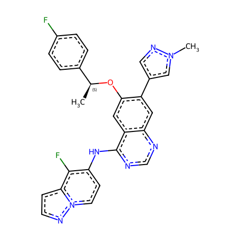 C[C@H](Oc1cc2c(Nc3ccn4nccc4c3F)ncnc2cc1-c1cnn(C)c1)c1ccc(F)cc1